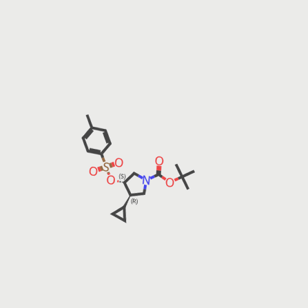 Cc1ccc(S(=O)(=O)O[C@@H]2CN(C(=O)OC(C)(C)C)C[C@H]2C2CC2)cc1